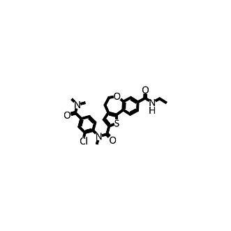 CCNC(=O)c1ccc2c(c1)OCCc1cc(C(=O)N(C)c3ccc(C(=O)N(C)C)cc3Cl)sc1-2